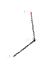 CCCCCCCCCCCCCCCCCCCCCCCCCCC(C)(C)CCCCCCCCCCCCCCCCCCCCCCCC